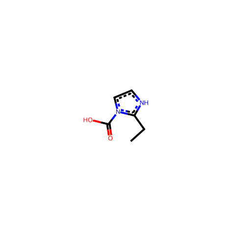 CCc1[nH]cc[n+]1C(=O)O